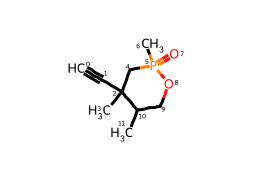 C#CC1(C)CP(C)(=O)OCC1C